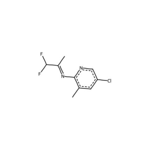 C/C(=N\c1ncc(Cl)cc1C)C(F)F